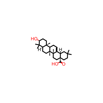 CC1(C)CC[C@]2(C(=O)O)CC[C@@]3(C)C(=CCC4[C@@]5(C)CC[C@H](O)C(C)(C)[C@@H]5CC[C@]43C)[C@@H]2C1